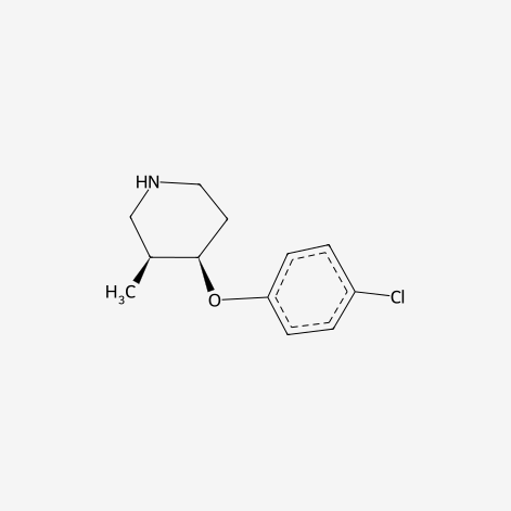 C[C@H]1CNCC[C@H]1Oc1ccc(Cl)cc1